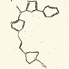 CN1CCN(CCCc2ccc(N(I)c3ncc(-c4ccccc4)s3)nc2)CC1